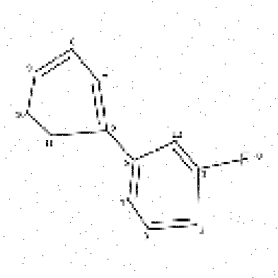 Fc1cccc(C2=CC=CCC2)c1